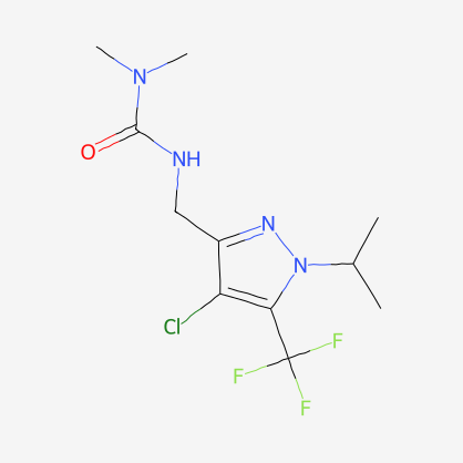 CC(C)n1nc(CNC(=O)N(C)C)c(Cl)c1C(F)(F)F